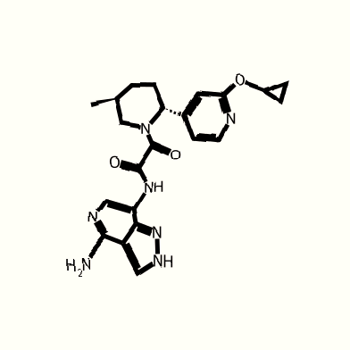 C[C@H]1CC[C@H](c2ccnc(OC3CC3)c2)N(C(=O)C(=O)Nc2cnc(N)c3c[nH]nc23)C1